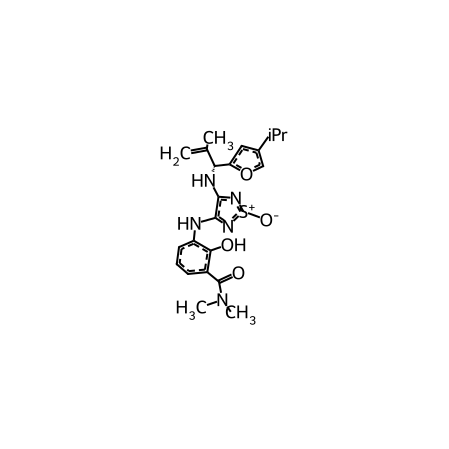 C=C(C)[C@@H](Nc1n[s+]([O-])nc1Nc1cccc(C(=O)N(C)C)c1O)c1cc(C(C)C)co1